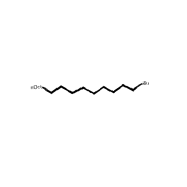 [CH2]C(CC)CCCCCCCCCCCCCCCCC